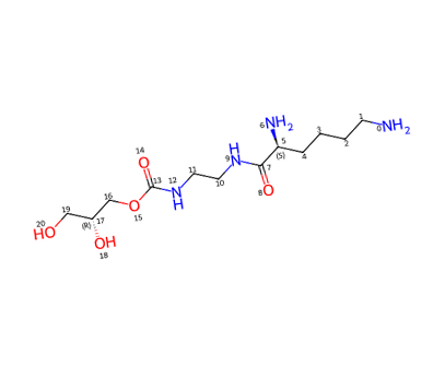 NCCCC[C@H](N)C(=O)NCCNC(=O)OC[C@H](O)CO